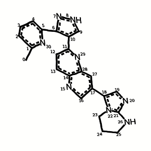 Cc1cccc(-c2n[nH]cc2-c2ccc3ncc(-c4cnc5n4CCCN5)cc3n2)n1